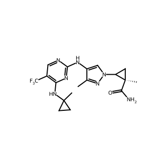 Cc1nn(C2C[C@@]2(C)C(N)=O)cc1Nc1ncc(C(F)(F)F)c(NC2(C)CC2)n1